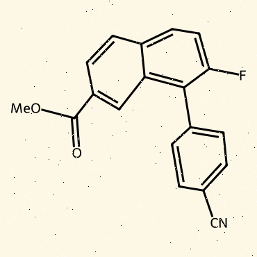 COC(=O)c1ccc2ccc(F)c(-c3ccc(C#N)cc3)c2c1